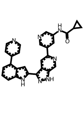 O=C(Nc1cncc(-c2cc3c(-c4cc5c(-c6ccncc6)cccc5[nH]4)n[nH]c3cn2)c1)C1CC1